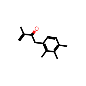 C=C(C)C(=O)Cc1ccc(C)c(C)c1C